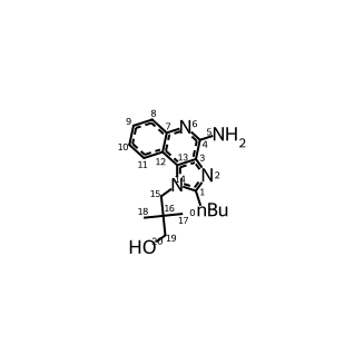 CCCCc1nc2c(N)nc3ccccc3c2n1CC(C)(C)CO